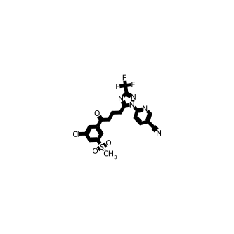 CS(=O)(=O)c1cc(Cl)cc(C(=O)CCCc2nc(C(F)(F)F)nn2-c2ccc(C#N)cn2)c1